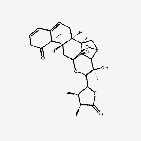 C[C@@H]1[C@H](C)C(=O)O[C@@H]1C1OC23C[C@H]4[C@@H](CC=C5C=CCC(=O)[C@@]54C)[C@H]4CC(O2)C([C@@H]43)[C@@]1(C)O